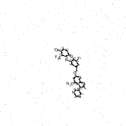 Cc1cc(OCc2cc(F)c(Oc3ccc(Cl)c(C(F)(F)F)c3)c(F)c2)nc2ncc(-c3cncnc3)n12